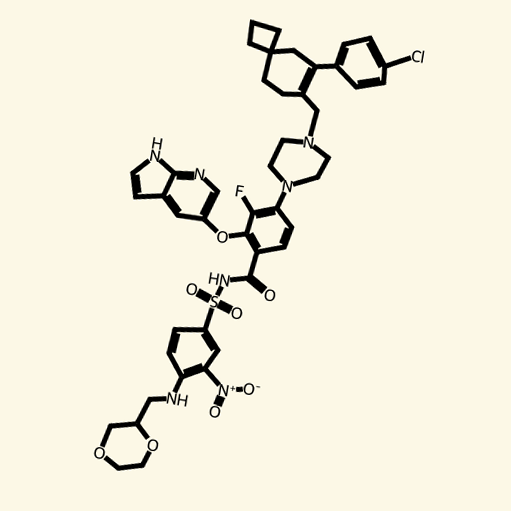 O=C(NS(=O)(=O)c1ccc(NCC2COCCO2)c([N+](=O)[O-])c1)c1ccc(N2CCN(CC3=C(c4ccc(Cl)cc4)CC4(CCC4)CC3)CC2)c(F)c1Oc1cnc2[nH]ccc2c1